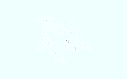 Cc1cc(C(N)=O)ccc1Oc1nc(C)c2ccc(=O)n(-c3ccc(C(=O)NC4CC4)cc3)c2n1